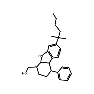 CCCCC(C)(C)c1ccc2c(c1)NC1C(CO)CCC(c3ccccc3)C21